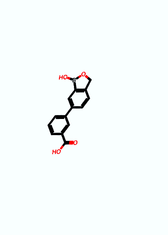 O=C(O)c1cccc(-c2ccc3c(c2)B(O)OC3)c1